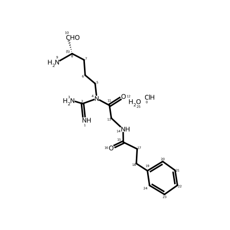 Cl.N=C(N)N(CCC[C@H](N)C=O)C(=O)CNC(=O)CCc1ccccc1.O